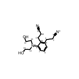 N#CCCc1cccc(N(CCO)CCO)c1CCC#N